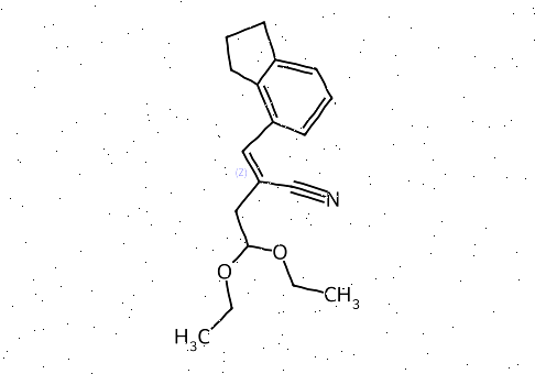 CCOC(C/C(C#N)=C/c1cccc2c1CCC2)OCC